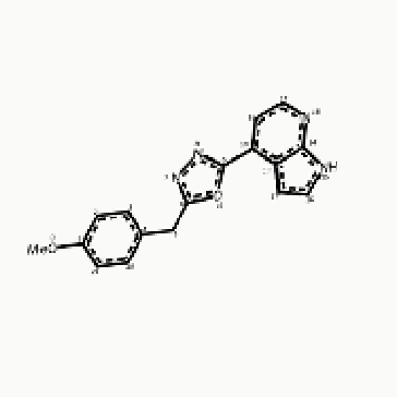 COc1ccc(Cc2nnc(-c3ccnc4[nH]ccc34)o2)cc1